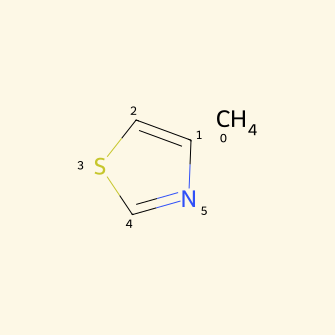 C.c1cscn1